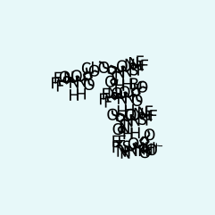 CCOc1ccc(NC(=O)Nc2nnc(C(F)(F)F)s2)c(-c2ccco2)c1.COc1cc(OC)c(NC(=O)Nc2cc(C(F)(F)F)no2)cc1Br.COc1cc(OC)c(NC(=O)Nc2cc(C(F)(F)F)on2)cc1Cl.COc1ccc(NC(=O)Nc2nnc(C(F)(F)F)s2)c(-c2ncco2)c1.COc1ccc(NC(=O)Nc2nnc(C(F)(F)F)s2)c([N+](=O)[O-])c1